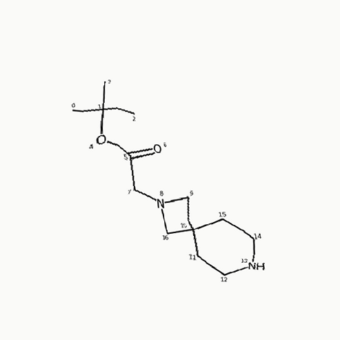 CC(C)(C)OC(=O)CN1CC2(CCNCC2)C1